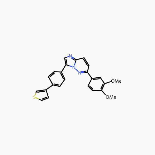 COc1ccc(-c2ccc3ncc(-c4ccc(-c5ccsc5)cc4)n3n2)cc1OC